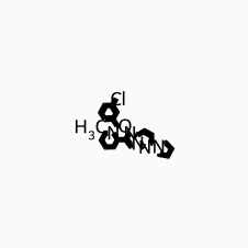 Cc1ccc(Cl)cc1C(=O)N1CCCCC1c1cn2nc(N3CCCC3)ccc2n1